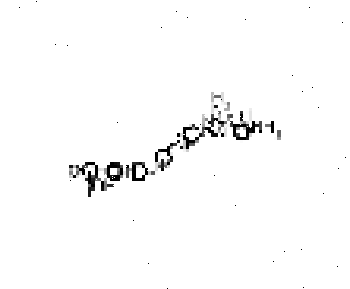 CC1(NCC2CCN(CC3CCN(c4ccc(C5CCC(=O)NC5O)cc4)CC3)CC2)CCN(c2cnc(Sc3cccc(N)c3Cl)c(N)n2)CC1